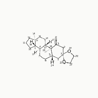 C=C1CC2(C[C@@H]3CC[C@H]4[C@@H]5CCC[C@@]5(C)CC[C@@H]4[C@@]13C)OCCO2